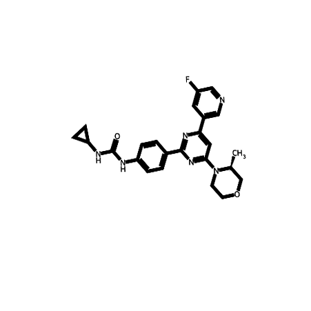 C[C@H]1COCCN1c1cc(-c2cncc(F)c2)nc(-c2ccc(NC(=O)NC3CC3)cc2)n1